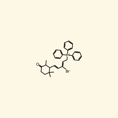 CC(C=CC1C(C)C(=O)CCC1(C)C)=CC[P+](c1ccccc1)(c1ccccc1)c1ccccc1.[Br-]